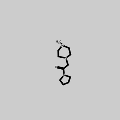 CN1CCN(CC(=O)N2CCCC2)CC1